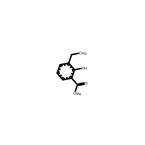 COC(=O)c1c[c]cc(CC=O)c1O